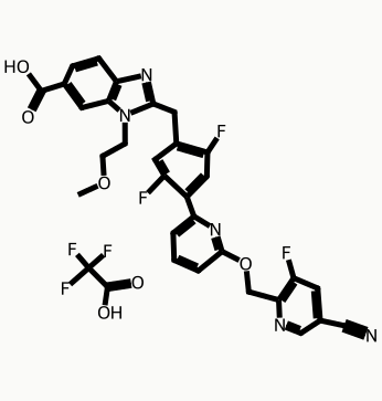 COCCn1c(Cc2cc(F)c(-c3cccc(OCc4ncc(C#N)cc4F)n3)cc2F)nc2ccc(C(=O)O)cc21.O=C(O)C(F)(F)F